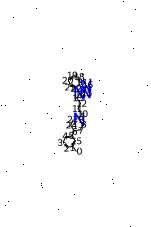 Cc1cccc(C2CCN(CCCCn3nnc4ccccc43)CC2)c1